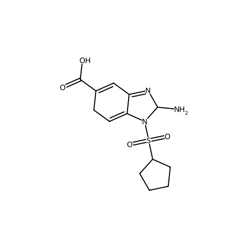 NC1N=C2C=C(C(=O)O)CC=C2N1S(=O)(=O)C1CCCC1